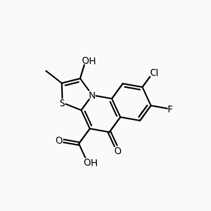 Cc1sc2c(C(=O)O)c(=O)c3cc(F)c(Cl)cc3n2c1O